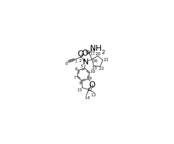 C#CC(=O)N(c1ccc2c(c1)OC(C)(C)C2)C1(C(N)=O)CCCC1